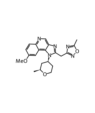 COc1ccc2ncc3nc(Cc4noc(C)n4)n([C@H]4CCO[C@@H](C)C4)c3c2c1